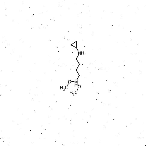 CO[SiH](CCCCNC1CC1)OC